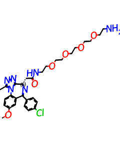 COc1ccc2c(c1)C(c1ccc(Cl)cc1)=N[C@@H](CC(=O)NCCOCCOCCOCCOCCN)c1nnc(C)n1-2